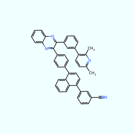 Cc1ccc(-c2cccc(-c3nc4ccccc4nc3-c3ccc(-c4ccc(-c5cccc(C#N)c5)c5ccccc45)cc3)c2)c(C)n1